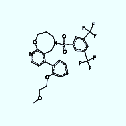 COCCOc1ccccc1-c1ccnc2c1CN(S(=O)(=O)c1cc(C(F)(F)F)cc(C(F)(F)F)c1)CCCO2